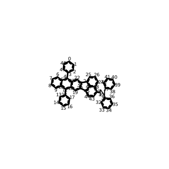 c1ccc(-c2c3ccccc3c(-c3ccccc3)c3cc4c(cc23)-c2cccc3c(N(c5ccccc5)c5ccccc5)ccc-4c23)cc1